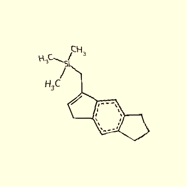 C[Si](C)(C)CC1=CCc2cc3c(cc21)CCC3